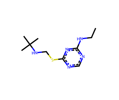 CCNc1ncnc(SCNC(C)(C)C)n1